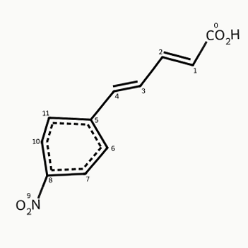 O=C(O)C=CC=Cc1ccc([N+](=O)[O-])cc1